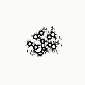 CC(C)(C)c1ccc2c(c1)C1(C)CCCCC1(C)N2c1cc2c3c(c1)N1c4ccc(c5c4sc4ccccc45)C(C)(C)c4ccc5oc6ccc(c1c6c5c4)B3c1cc3c(cc1N2c1ccc2c(c1)C(C)(C)CCC2(C)C)C(C)(C)CCC3(C)C